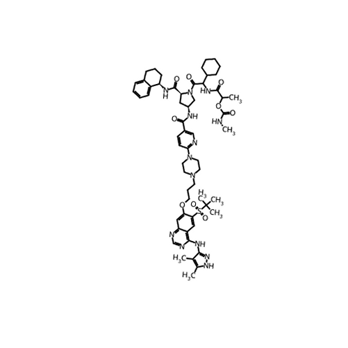 CNC(=O)OC(C)C(=O)NC(C(=O)N1C[C@@H](NC(=O)c2ccc(N3CCN(CCCOc4cc5ncnc(Nc6n[nH]c(C)c6C)c5cc4S(=O)(=O)C(C)(C)C)CC3)nc2)C[C@H]1C(=O)N[C@@H]1CCCc2ccccc21)C1CCCCC1